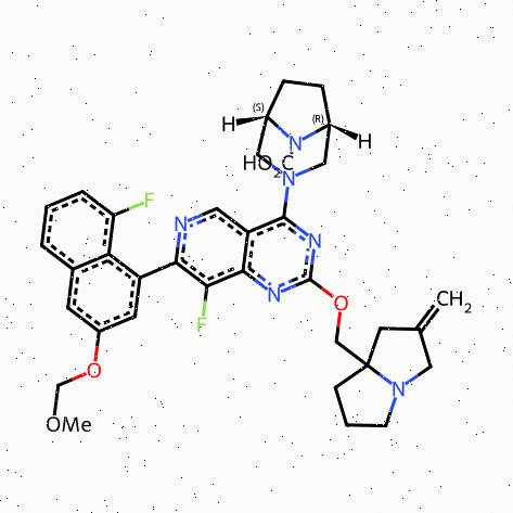 C=C1CN2CCCC2(COc2nc(N3C[C@H]4CC[C@@H](C3)N4C(=O)O)c3cnc(-c4cc(OCOC)cc5cccc(F)c45)c(F)c3n2)C1